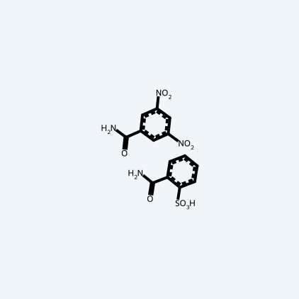 NC(=O)c1cc([N+](=O)[O-])cc([N+](=O)[O-])c1.NC(=O)c1ccccc1S(=O)(=O)O